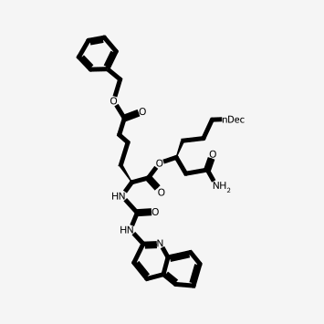 CCCCCCCCCCCCC[C@@H](CC(N)=O)OC(=O)[C@H](CCCC(=O)OCc1ccccc1)NC(=O)Nc1ccc2ccccc2n1